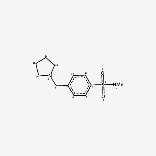 CNS(=O)(=O)c1ccc(CN2CCCC2)cc1